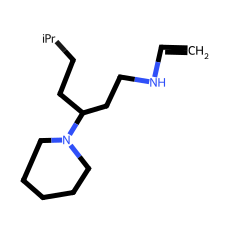 C=CNCCC(CCC(C)C)N1CCCCC1